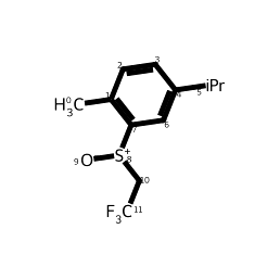 Cc1ccc(C(C)C)cc1[S+]([O-])CC(F)(F)F